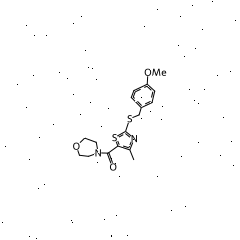 COc1ccc(CSc2nc(C)c(C(=O)N3CCOCC3)s2)cc1